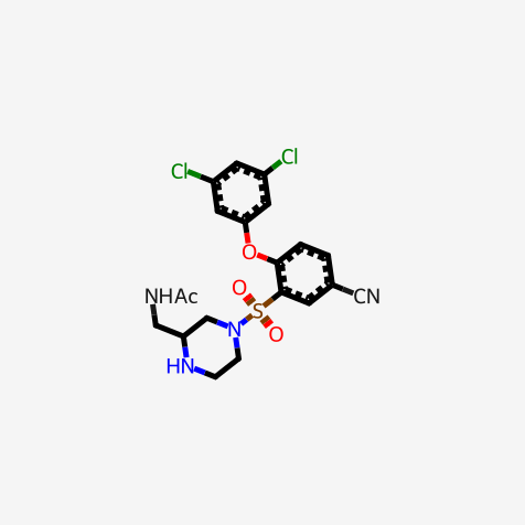 CC(=O)NCC1CN(S(=O)(=O)c2cc(C#N)ccc2Oc2cc(Cl)cc(Cl)c2)CCN1